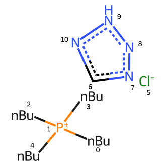 CCCC[P+](CCCC)(CCCC)CCCC.[Cl-].c1nn[nH]n1